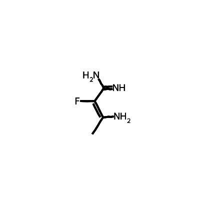 C/C(N)=C(\F)C(=N)N